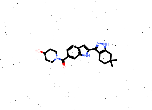 CC1(C)CCc2c(-c3cc4ccc(C(=O)N5CCC(O)CC5)cc4[nH]3)n[nH]c2C1